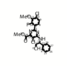 C=CC(Nc1nc(-c2ccc(Cl)c(OC)c2F)nc(C(=O)OC)c1Cl)c1ccccc1